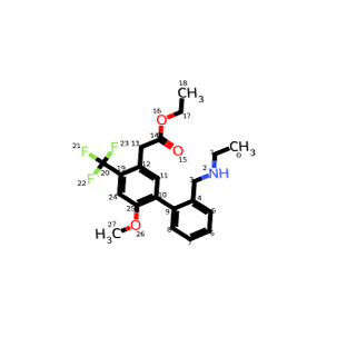 CCNCc1ccccc1-c1cc(CC(=O)OCC)c(C(F)(F)F)cc1OC